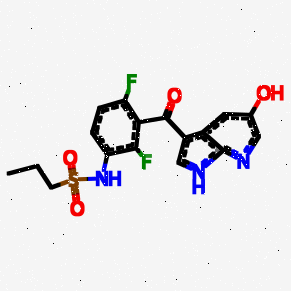 CCCS(=O)(=O)Nc1ccc(F)c(C(=O)c2c[nH]c3ncc(O)cc23)c1F